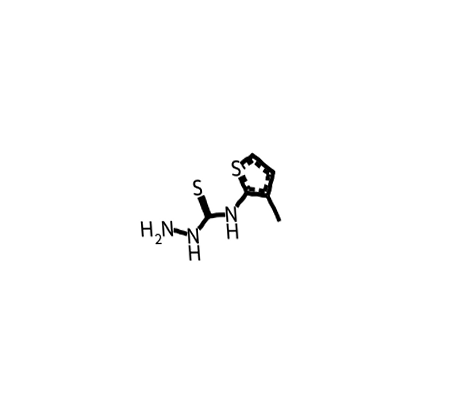 Cc1ccsc1NC(=S)NN